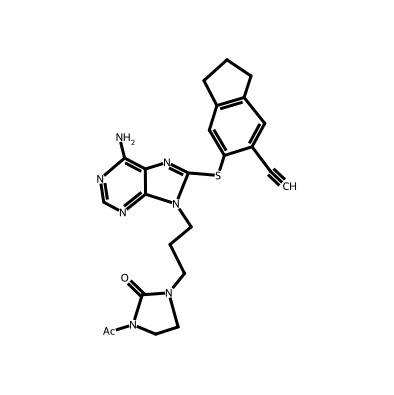 C#Cc1cc2c(cc1Sc1nc3c(N)ncnc3n1CCCN1CCN(C(C)=O)C1=O)CCC2